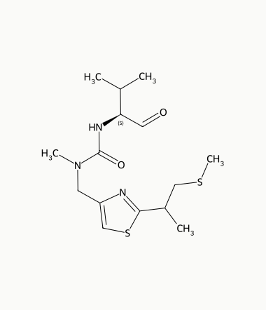 CSCC(C)c1nc(CN(C)C(=O)N[C@H](C=O)C(C)C)cs1